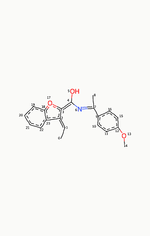 CC=c1/c(=C(O)\N=C(/C)c2ccc(OC)cc2)oc2ccccc12